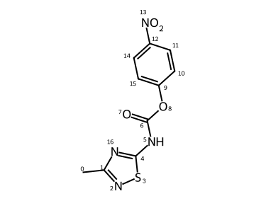 Cc1nsc(NC(=O)Oc2ccc([N+](=O)[O-])cc2)n1